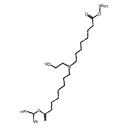 C=C(CCCCCCCN(CCO)CCCCCCCC(=O)OCCCCCCCCC)OC(CCC)CCC